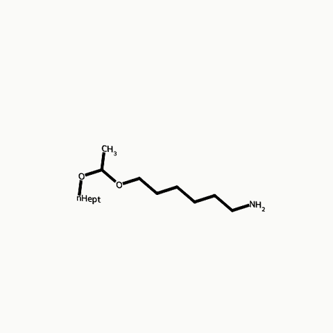 CCCCCCCOC(C)OCCCCCCN